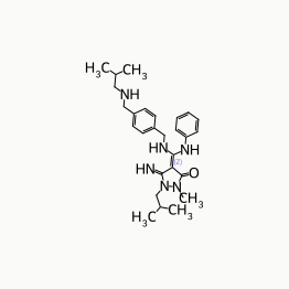 CC(C)CNCc1ccc(CN/C(Nc2ccccc2)=C2\C(=N)N(CC(C)C)N(C)C2=O)cc1